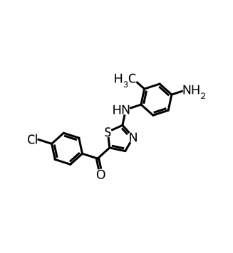 Cc1cc(N)ccc1Nc1ncc(C(=O)c2ccc(Cl)cc2)s1